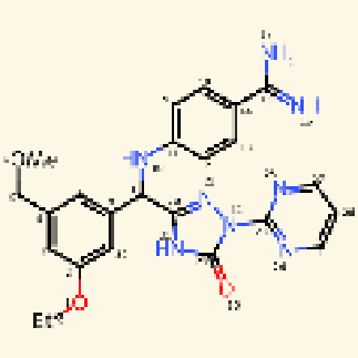 CCOc1cc(COC)cc(C(Nc2ccc(C(=N)N)cc2)c2nn(-c3ncccn3)c(=O)[nH]2)c1